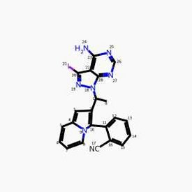 CC(c1cc2ccccn2c1-c1ccccc1C#N)n1nc(I)c2c(N)ncnc21